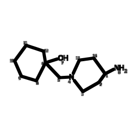 NC1CCN(CC2(O)CCCCC2)CC1